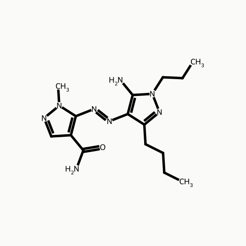 CCCCc1nn(CCC)c(N)c1N=Nc1c(C(N)=O)cnn1C